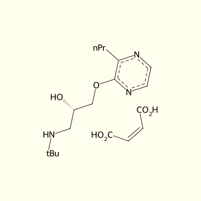 CCCc1nccnc1OC[C@@H](O)CNC(C)(C)C.O=C(O)/C=C\C(=O)O